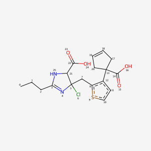 CCCC1=NC(Cl)(Cc2sccc2C2(C(=O)O)CC=CC2)C(C(=O)O)N1